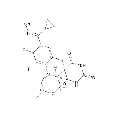 C[C@@H]1CN2c3c(cc(/C(=N/O)C4CC4)c(F)c3F)CC3(C(=O)NC(=O)NC3=O)[C@H]2[C@H](C)O1